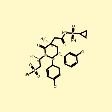 CC(C)[C@@H](CS(=O)(=O)C(C)C)N1C(=O)[C@@](C)(CC(=O)NS(=N)(=O)C2CC2)C[C@H](c2cccc(Cl)c2)[C@H]1C1C=CC(Cl)=CC1